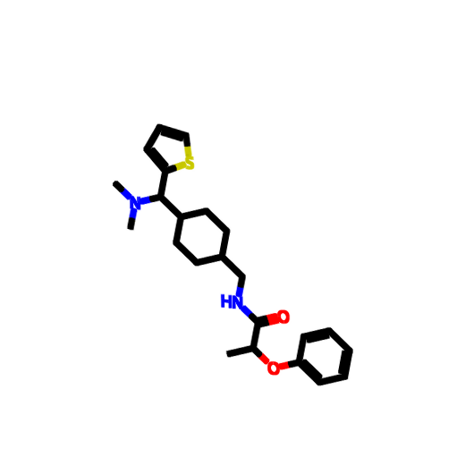 CC(Oc1ccccc1)C(=O)NCC1CCC(C(c2cccs2)N(C)C)CC1